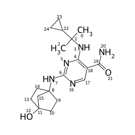 CC(C)(Nc1nc(NC23CCC(O)(CC2)C3)ncc1C(N)=O)C1CC1